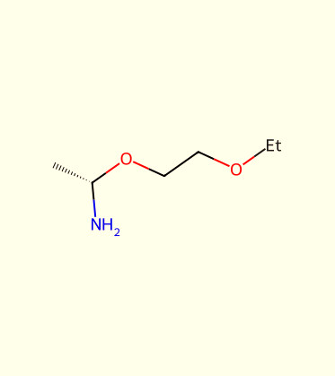 CCOCCO[C@@H](C)N